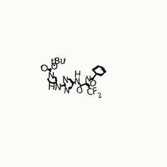 CC(C)(C)OC(=O)N1CC[C@H](Nc2ncc(NC(=O)c3nc(-c4ccccc4)oc3C(F)(F)F)cn2)C1